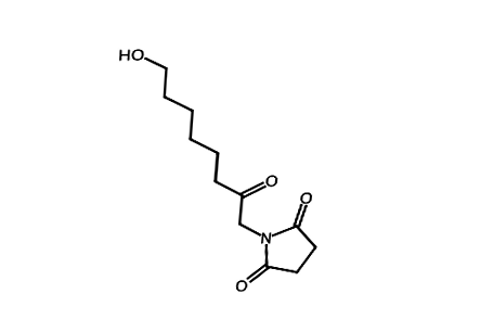 O=C(CCCCCCO)CN1C(=O)CCC1=O